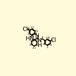 Clc1cccc(CNC2=Nc3ccc(Cl)cc3NC23CCCCC3)c1